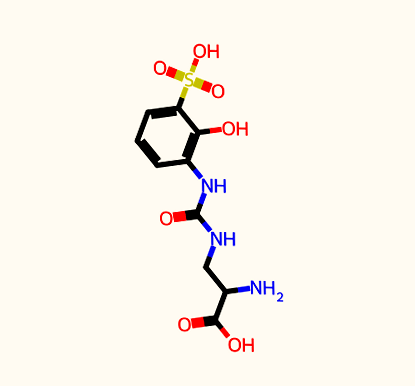 NC(CNC(=O)Nc1cccc(S(=O)(=O)O)c1O)C(=O)O